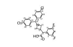 O=C(O)C(c1cc(F)cc(F)c1)C1CN(C(c2ccc(Cl)cc2)c2ccc(Cl)cc2)C1